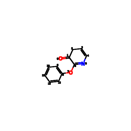 O=C1CC=CN=C1Oc1ccccc1